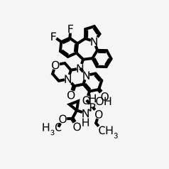 CCO[PH](O)(NC1(C(=O)OC)CC1)Oc1c2n(ccc1=O)N(C1c3ccccc3-n3cccc3-c3c1ccc(F)c3F)C1COCCN1C2=O